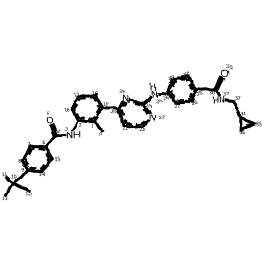 Cc1c(NC(=O)c2ccc(C(C)(C)C)cc2)cccc1-c1ccnc(Nc2ccc(C(=O)NCC3CC3)cc2)n1